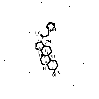 C=C(Cn1cccn1)[C@H]1CC[C@H]2[C@@H]3CC[C@@H]4C[C@](C)(O)CC[C@@H]4[C@H]3CC[C@]12C